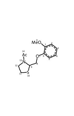 COc1ccccc1OCC1SCCN1C(C)=O